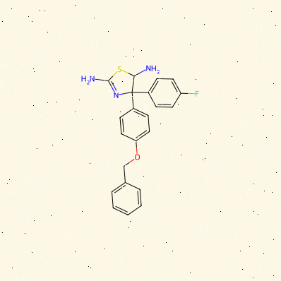 NC1=NC(c2ccc(F)cc2)(c2ccc(OCc3ccccc3)cc2)C(N)S1